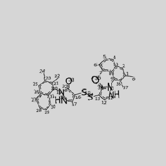 Cc1cc2ccccc2c(-n2[nH]cc(SSc3c[nH]n(-c4c(C)c(C)cc5ccccc45)c3=O)c2=O)c1C